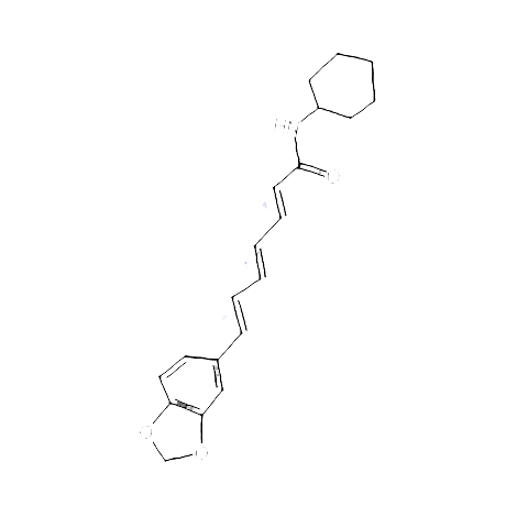 O=C(/C=C/C=C/C=C/c1ccc2c(c1)OCO2)NC1CCCCC1